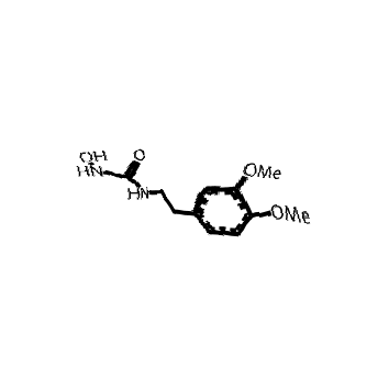 COc1ccc(CCNC(=O)NO)cc1OC